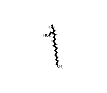 CCCCCCCCCCCCCCCC(CCO)CC1CO1